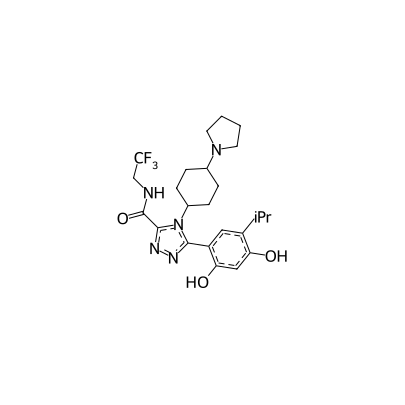 CC(C)c1cc(-c2nnc(C(=O)NCC(F)(F)F)n2C2CCC(N3CCCC3)CC2)c(O)cc1O